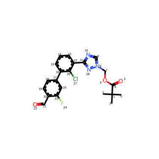 CC(C)(C)C(=O)OCn1cnc(-c2cccc(-c3ccc(C=O)c(F)c3)c2Cl)n1